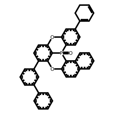 O=P12c3ccc(C4=CC=CCC4)cc3Oc3ccc(-c4cccc(-c5ccccc5)c4)c(c31)Oc1ccc3ccccc3c12